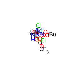 CC(C)(C)OC(=O)ON1CC(C(=O)N2C[C@H](S(=O)(=O)c3ccc(OCC(F)(F)F)cc3Cl)C[C@H]2C(=O)NC2(C#N)CC2)(c2ncc(Cl)cc2F)C1